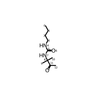 CCCCNC(=O)NC(C)(C)C(C)=O